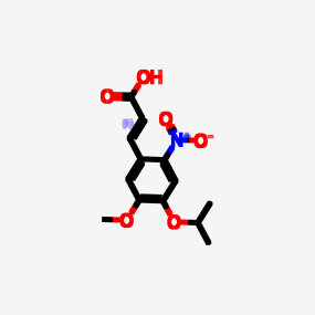 COc1cc(/C=C/C(=O)O)c([N+](=O)[O-])cc1OC(C)C